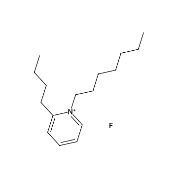 CCCCCCC[n+]1ccccc1CCCC.[F-]